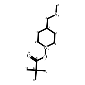 CSCC1CCN(OC(=O)C(C)(C)C)CC1